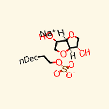 CCCCCCCCCCCCOS(=O)(=O)[O-].O[C@@H]1CO[C@H]2[C@@H]1OC[C@@H]2O.[Na+]